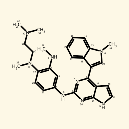 CNc1cc(Nc2nc(-c3cn(C)c4ccccc34)c3cc[nH]c3n2)ccc1N(C)CCN(C)C